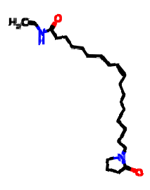 C=CNC(=O)CCCCCCC/C=C\CCCCCCCCN1CCCC1=O